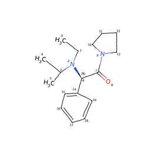 CCN(C(C)C)[C@@H](C(=O)N1CCCC1)c1ccccc1